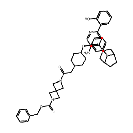 Nc1nnc(-c2ccccc2O)cc1N1CC2CCC(C1)N2c1cccc(OC2CCC(CC(=O)N3CC4(C3)CN(C(=O)OCc3ccccc3)C4)CC2)c1